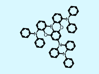 c1ccc(N(c2ccccc2)c2cccc3c2Oc2cc(N4c5ccccc5N(c5ccccc5)c5ccccc54)cc4c2B3c2cccc(N(c3ccccc3)c3ccccc3)c2O4)cc1